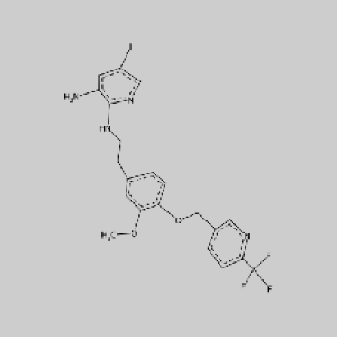 COc1cc(CCNc2ncc(I)cc2N)ccc1OCc1ccc(C(F)(F)F)nc1